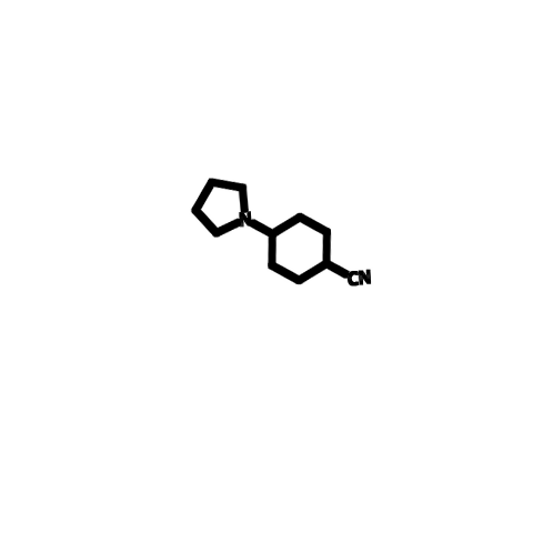 N#CC1CCC(N2CCCC2)CC1